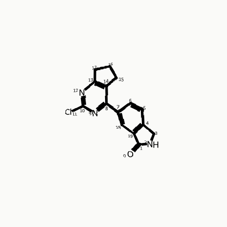 O=C1NCc2ccc(-c3nc(Cl)nc4c3CCC4)cc21